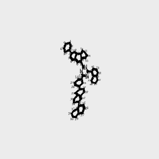 c1ccc(-c2ccc3cc(-c4nc(-c5cccc(-c6ccc7cc(-c8cccc9ccccc89)ccc7c6)c5)nc(-c5cccc6ccccc56)n4)c4ccccc4c3c2)cc1